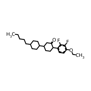 CCCCCC1CCC(C2CCC(c3ccc(OCC)c(F)c3F)C(=O)C2)CC1